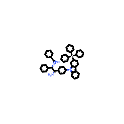 N[C@H](c1ccc(-n2c3ccccc3c3ccc([Si](c4ccccc4)(c4ccccc4)c4ccccc4)cc32)cc1)C(c1ccccc1)N1NC1c1ccccc1